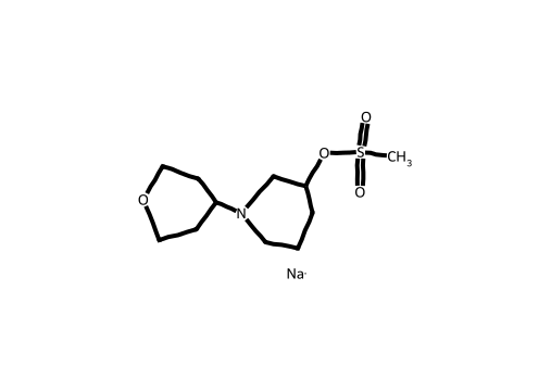 CS(=O)(=O)OC1CCCN(C2CCOCC2)C1.[Na]